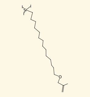 C=C(C)COCCCCCCCCCCCCCC[Si](I)(I)I